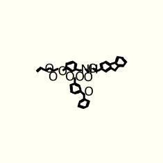 C=CCOC(=O)COc1cccc(C(NC(=O)OCc2ccc3c(c2)Cc2ccccc2-3)OC(=O)c2cccc(C(=O)c3ccccc3)c2)c1